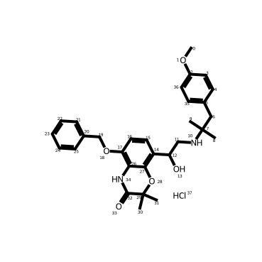 COc1ccc(CC(C)(C)NCC(O)c2ccc(OCc3ccccc3)c3c2OC(C)(C)C(=O)N3)cc1.Cl